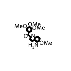 COc1cc(C(=O)c2ccc3c(N)c(OC)ccc3n2)cc(OC)c1OC